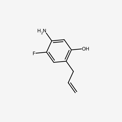 C=CCc1cc(F)c(N)cc1O